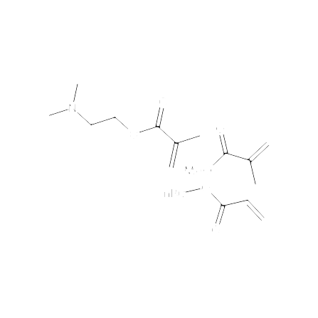 C=C(C)C(=O)OC.C=C(C)C(=O)OCCN(C)C.C=CC(=O)OCCCC